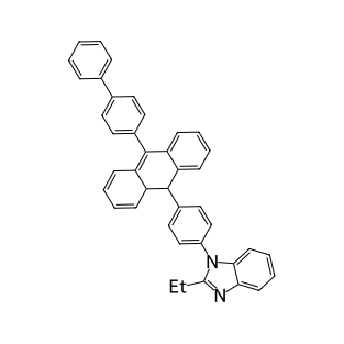 CCc1nc2ccccc2n1-c1ccc(C2c3ccccc3C(c3ccc(-c4ccccc4)cc3)=C3C=CC=CC32)cc1